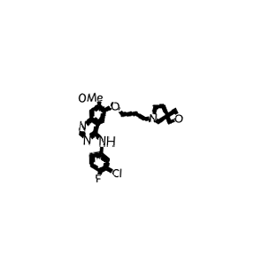 COc1cc2ncnc(Nc3ccc(F)c(Cl)c3)c2cc1OCCCN1CCC2(COC2)C1